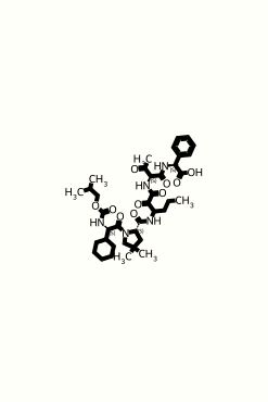 CCCC(NC(=O)[C@@H]1CC(C)(C)CN1C(=O)[C@@H](NC(=O)OCC(C)C)C1CCCCC1)C(=O)C(=O)N[C@@H](C(C)=O)C(=O)N[C@H](C(=O)O)c1ccccc1